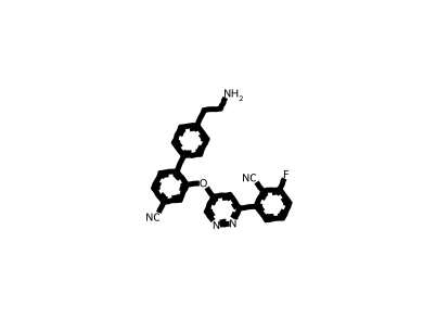 N#Cc1ccc(-c2ccc(CCN)cc2)c(Oc2cnnc(-c3cccc(F)c3C#N)c2)c1